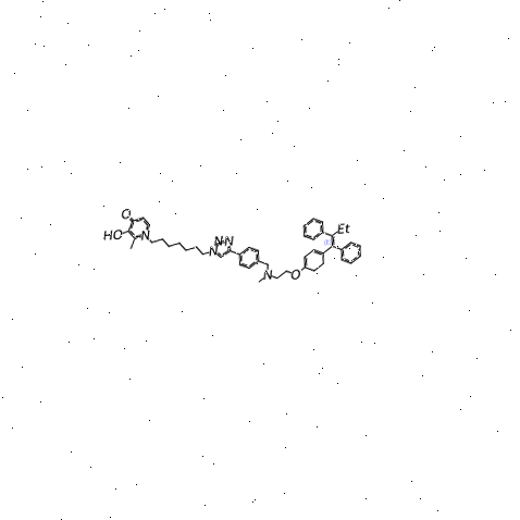 CC/C(=C(/C1=CC=C(OCCN(C)Cc2ccc(-c3cn(CCCCCCCn4ccc(=O)c(O)c4C)nn3)cc2)CC1)c1ccccc1)c1ccccc1